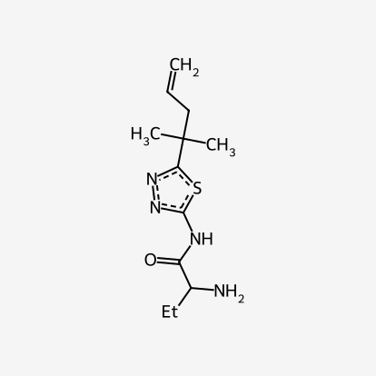 C=CCC(C)(C)c1nnc(NC(=O)C(N)CC)s1